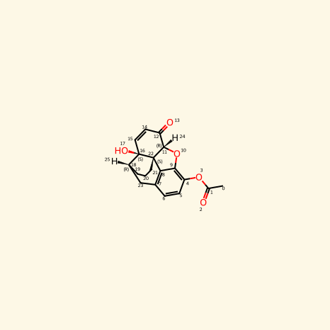 CC(=O)Oc1ccc2c3c1O[C@H]1C(=O)C=C[C@@]4(O)[C@H](CCC[C@]314)C2